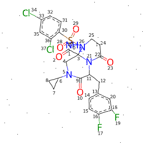 NC(=O)C12CN(C3CC3)C(=O)C(Cc3ccc(F)c(F)c3)N1C(=O)[C]CN2S(=O)(=O)c1ccc(Cl)cc1Cl